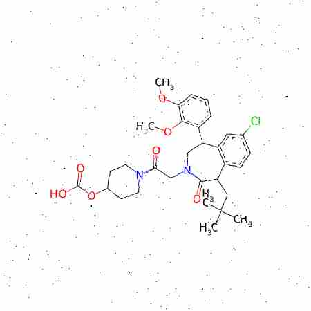 COc1cccc(C2CN(CC(=O)N3CCC(OC(=O)O)CC3)C(=O)C(CC(C)(C)C)c3ccc(Cl)cc32)c1OC